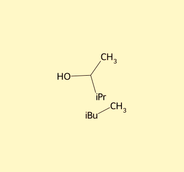 CC(C)C(C)O.CCC(C)C